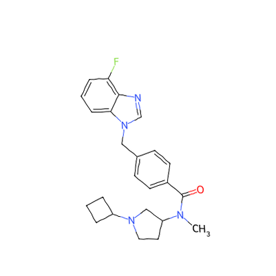 CN(C(=O)c1ccc(Cn2cnc3c(F)cccc32)cc1)C1CCN(C2CCC2)C1